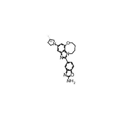 C[C@H]1CCN(c2cc3c4c(c2)nc(-c2ccc5oc(N)nc5c2)n4CCCCO3)C1